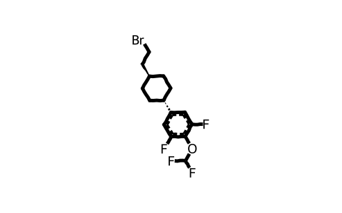 Fc1cc([C@H]2CC[C@H](CCBr)CC2)cc(F)c1OC(F)F